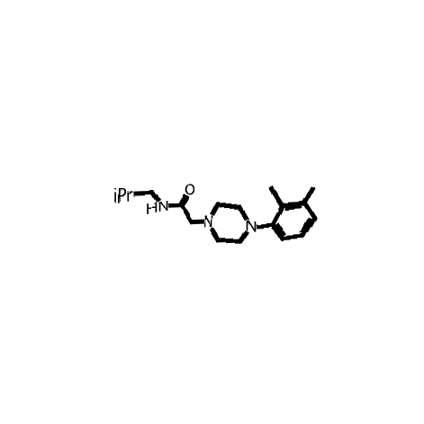 Cc1cccc(N2CCN(CC(=O)NCC(C)C)CC2)c1C